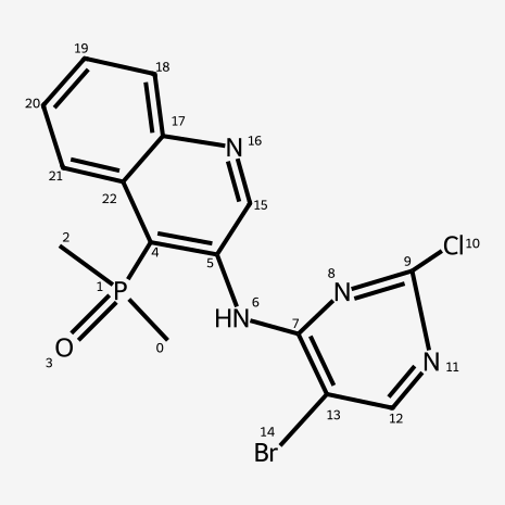 CP(C)(=O)c1c(Nc2nc(Cl)ncc2Br)cnc2ccccc12